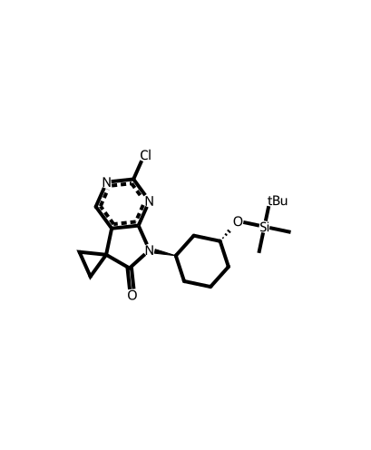 CC(C)(C)[Si](C)(C)O[C@@H]1CCC[C@@H](N2C(=O)C3(CC3)c3cnc(Cl)nc32)C1